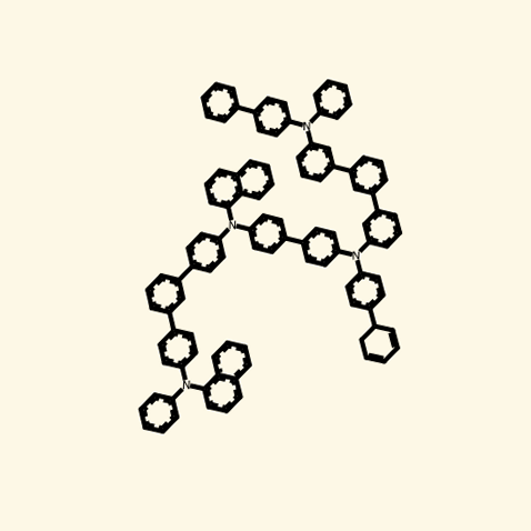 C1=CCC(c2ccc(N(c3ccc(-c4ccc(N(c5ccc(-c6cccc(-c7ccc(N(c8ccccc8)c8cccc9ccccc89)cc7)c6)cc5)c5cccc6ccccc56)cc4)cc3)c3cccc(-c4cccc(-c5cccc(N(c6ccccc6)c6ccc(-c7ccccc7)cc6)c5)c4)c3)cc2)C=C1